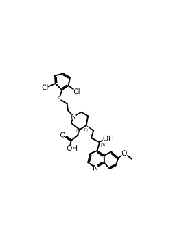 COc1ccc2nccc([C@H](O)CC[C@@H]3CCN(CCSc4c(Cl)cccc4Cl)C[C@@H]3CC(=O)O)c2c1